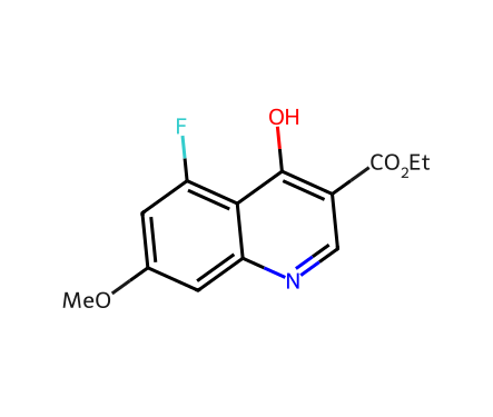 CCOC(=O)c1cnc2cc(OC)cc(F)c2c1O